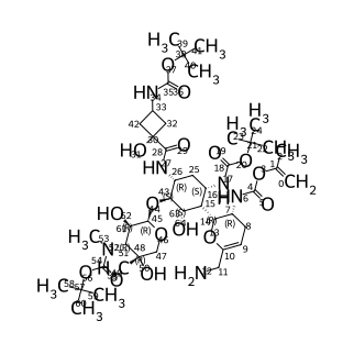 C=C(C)OC(=O)N[C@@H]1CC=C(CN)O[C@@H]1C1[C@@H](NC(=O)OC(C)(C)C)C[C@@H](NC(=O)C2(O)CC(NC(=O)OC(C)(C)C)C2)[C@H](O[C@H]2OC[C@](C)(O)[C@H](N(C)C(=O)OC(C)(C)C)[C@H]2O)[C@H]1O